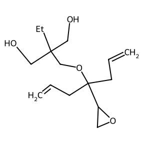 C=CCC(CC=C)(OCC(CC)(CO)CO)C1CO1